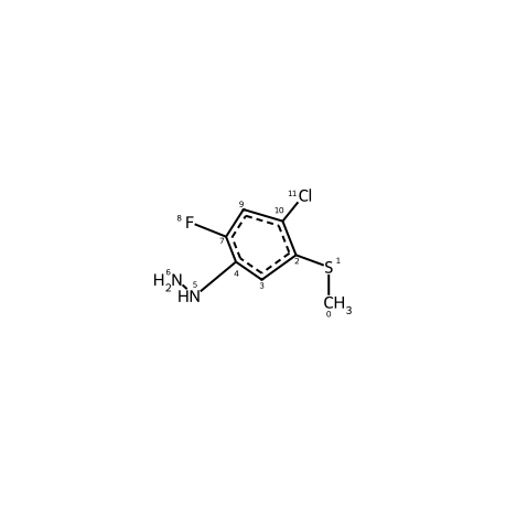 CSc1cc(NN)c(F)cc1Cl